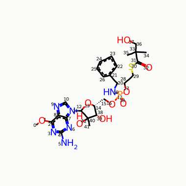 COc1nc(N)nc2c1ncn2C1O[C@H](COP(=O)(NCc2ccccc2)OCCSC(=O)C(C)(C)CO)[C@H](O)C1(C)O